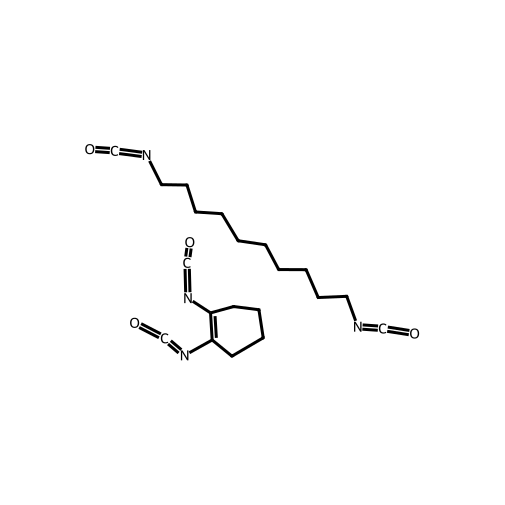 O=C=NC1=C(N=C=O)CCCC1.O=C=NCCCCCCCCCCN=C=O